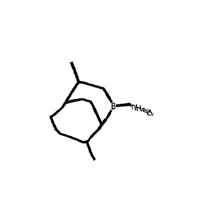 CCCCCCB1CC(C)C2CCC(C)C1C2.[Li]